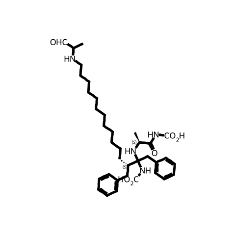 CC(C=O)NCCCCCCCCCCCC[C@@H](Cc1ccccc1)C(Cc1ccccc1)(NC(=O)O)N[C@@H](C)C(=O)NC(=O)O